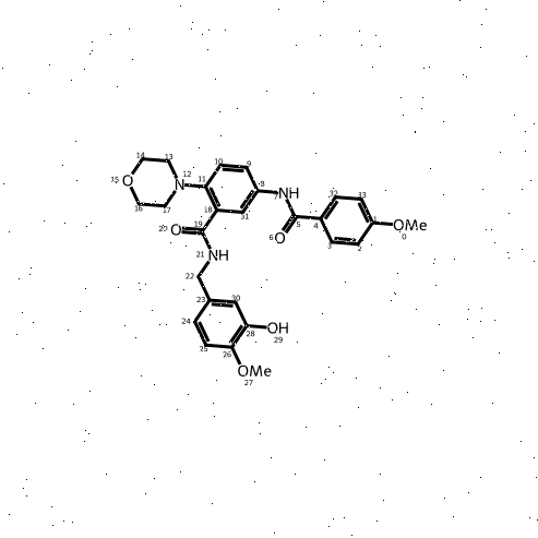 COc1ccc(C(=O)Nc2ccc(N3CCOCC3)c(C(=O)NCc3ccc(OC)c(O)c3)c2)cc1